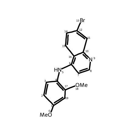 COc1ccc(Nc2ccnc3cc(Br)ccc23)c(OC)c1